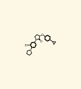 CCc1cc(N2CC[C@@H](Oc3ccc(C4CC4)cc3)C2=O)ccc1N1CCCC1